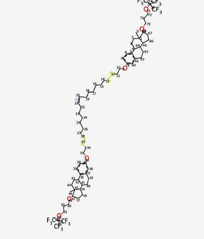 CC12CCC3c4ccc(OCCSSCCCCCC/C=C\CCCCCCSSCCOc5ccc6c(c5)CCC5C6CCC6(C)C(OCCCOC(C(F)(F)F)(C(F)(F)F)C(F)(F)F)CCC56)cc4CCC3C1CCC2OCCCOC(C(F)(F)F)(C(F)(F)F)C(F)(F)F